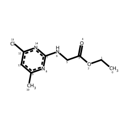 CCOC(=O)CNc1nc(C)cc(Cl)n1